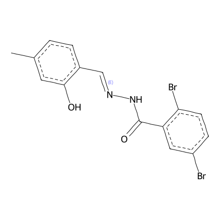 Cc1ccc(/C=N/NC(=O)c2cc(Br)ccc2Br)c(O)c1